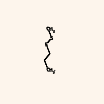 [CH2]CCSSC